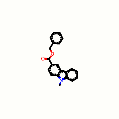 Cn1c2ccccc2c2cc(C(=O)OCc3ccccc3)ccc21